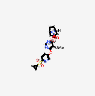 COc1c(Oc2ccc(S(=O)(=O)C3CC3)nc2)ncnc1O[C@H]1CC2CC[C@@H](C1)N2C(=O)OC(C)C